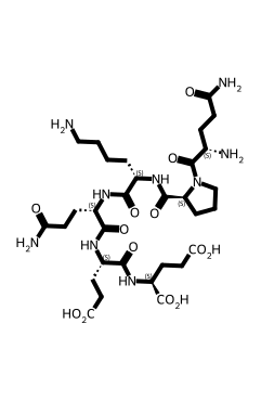 NCCCC[C@H](NC(=O)[C@@H]1CCCN1C(=O)[C@@H](N)CCC(N)=O)C(=O)N[C@@H](CCC(N)=O)C(=O)N[C@@H](CCC(=O)O)C(=O)N[C@@H](CCC(=O)O)C(=O)O